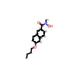 CCCCOc1ccc2cc(C(=O)N(C)O)ccc2c1